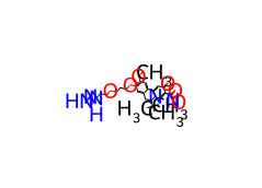 COc1cc2c(cc1OCCCOCCNN=N)CC(C(C)(C)C)n1cc(C(=O)N=O)c(=O)cc1-2